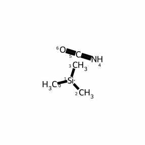 C[Si](C)C.N=C=O